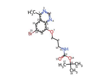 Cc1ncnc2c(OCCCNC(=O)OC(C)(C)C)cc(Br)cc12